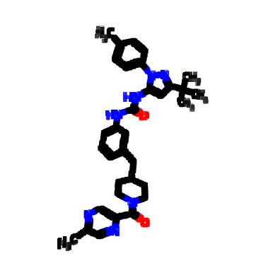 Cc1ccc(-n2nc(C(C)(C)C)cc2NC(=O)Nc2cccc(CC3CCN(C(=O)c4cnc(C)cn4)CC3)c2)cc1